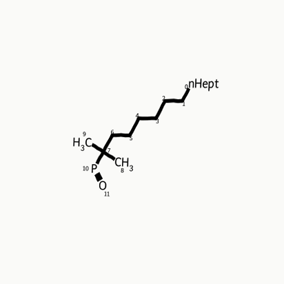 CCCCCCCCCCCCCC(C)(C)P=O